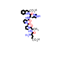 C[C@H](NC(=O)[C@@H](N)CCC(=O)O)C(=O)N1CCC[C@H]1C(=O)N1CCC[C@H]1C(=O)N[C@@H](Cc1c[nH]cn1)C(=O)N[C@@H](Cc1ccccc1)C(=O)O